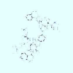 COC(=O)CSC(C)(C)C(NC(=O)OC(C)(C)C)C(=O)NC(Cc1ccc(C2CC(C(=O)NC3CCCc4ccccc43)N(C(=O)C(N)C(C)(C)C)C2)cc1)C(=O)NC1CCCc2ccccc21